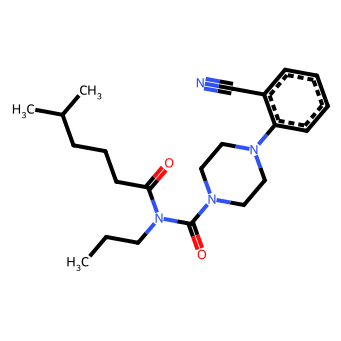 CCCN(C(=O)CCCC(C)C)C(=O)N1CCN(c2ccccc2C#N)CC1